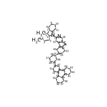 C=C/C=C\c1c(C)c2ccccc2n1-c1cc2c(cn1)sc1ccc(-c3cccc(-c4ccc5c6ccccc6c6ccccc6c5c4)c3)cc12